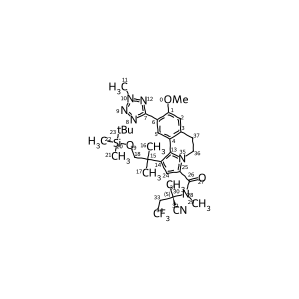 COc1cc2c(cc1-c1nnn(C)n1)-c1c(C(C)(C)CO[Si](C)(C)C(C)(C)C)cc(C(=O)N(C)[C@](C)(C#N)CC(F)(F)F)n1CC2